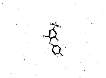 Cc1ccc(Oc2c(F)cc(S(C)(=O)=O)cc2F)cc1